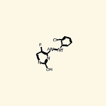 Oc1ncc(F)c(NNc2ccccc2Cl)n1